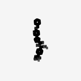 COC(=O)c1ccc([C@H](C)NC(=O)C2CCC(c3ccc(OCC4CCCCC4)nc3)C2)cc1